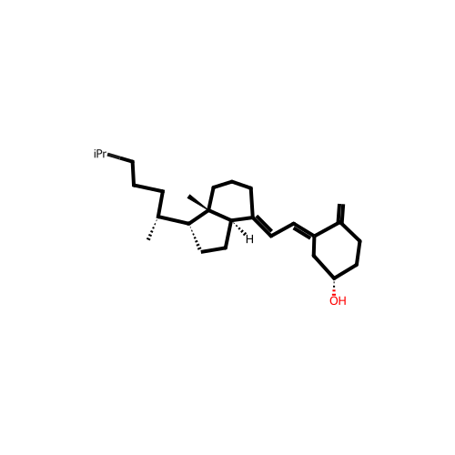 C=C1CC[C@H](O)CC1=CC=C1CCC[C@]2(C)[C@@H]1CC[C@@H]2[C@H](C)CCCC(C)C